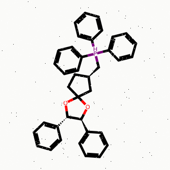 c1ccc([C@@H]2OC3(CC[C@@H](C[PH](c4ccccc4)(c4ccccc4)c4ccccc4)C3)O[C@H]2c2ccccc2)cc1